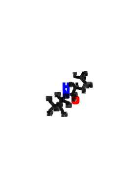 CC(CC(C)C(C)C)C(=O)NC(C)(C)C(C)C(C)C